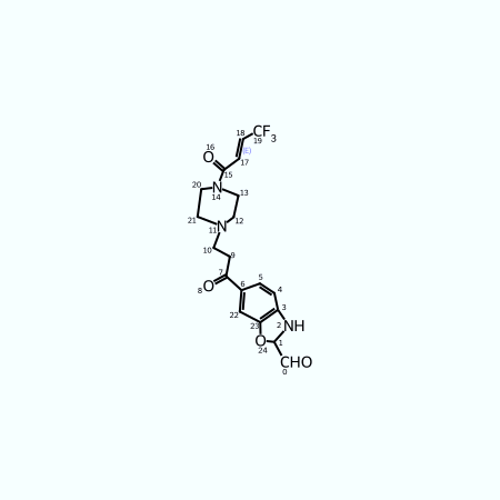 O=CC1Nc2ccc(C(=O)CCN3CCN(C(=O)/C=C/C(F)(F)F)CC3)cc2O1